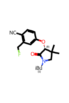 CC[C@H](C)N1CC(C)(C)[C@@H](Oc2ccc(C#N)c(CF)c2)C1=O